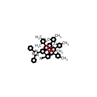 Cc1ccc(-c2ccc3c(c2)c2cc(-c4ccc(C)cc4C)ccc2n3-c2ccc(-c3nc(-c4ccccc4)nc(-c4ccccc4)n3)cc2-c2c(C#N)cccc2-n2c3ccc(-c4ccc(C)cc4C)cc3c3cc(-c4ccc(C)cc4C)ccc32)c(C)c1